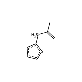 C=C(C)[SiH2]c1cccs1